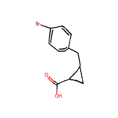 O=C(O)C1CC1Cc1ccc(Br)cc1